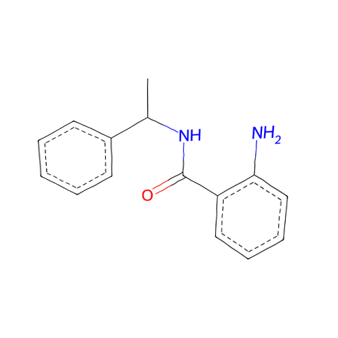 CC(NC(=O)c1ccccc1N)c1ccccc1